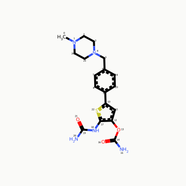 CN1CCN(Cc2ccc(-c3cc(OC(N)=O)c(NC(N)=O)s3)cc2)CC1